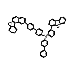 c1ccc(-c2ccc(N(c3ccc(-c4ccc(-c5ccc6ccc7oc8ccccc8c7c6c5)cc4)cc3)c3cccc(-c4cccc5c4sc4ccccc45)c3)cc2)cc1